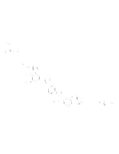 C=CC(=O)OCCCCOC(=O)Oc1c(OC)cc(C(=O)Oc2ccc(OC(=O)c3cc(OC)c(OC(=O)OCCCCOC(=O)C=C)c(OC)c3)c(C)c2)cc1OC